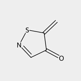 C=C1SN=CC1=O